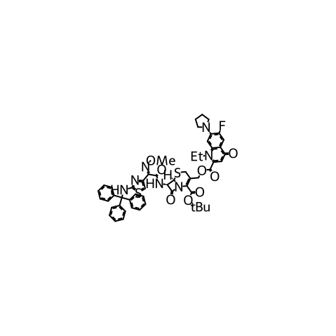 CCn1c(C(=O)OCC2=C(C(=O)OC(C)(C)C)N3C(=O)[C@@H](NC(=O)/C(=N\OC)c4csc(NC(c5ccccc5)(c5ccccc5)c5ccccc5)n4)[C@H]3SC2)cc(=O)c2cc(F)c(N3CCCC3)cc21